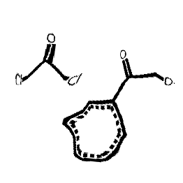 O=C(Cl)Cl.[O]C(=O)c1ccccc1